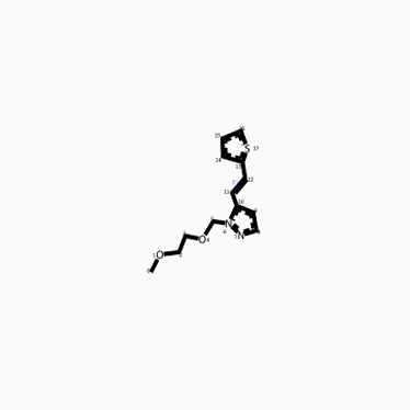 COCCOCn1nccc1/C=C/c1cccs1